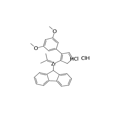 COc1cc(OC)cc(C2=[C]([Zr](=[C](C)C)[CH]3c4ccccc4-c4ccccc43)CC=C2)c1.Cl.Cl